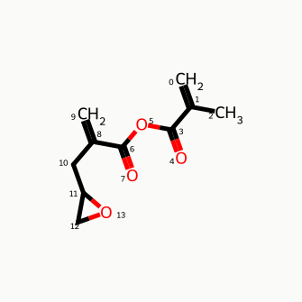 C=C(C)C(=O)OC(=O)C(=C)CC1CO1